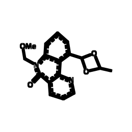 COCn1c(=O)c2cccnc2c2c(C3OC(C)O3)cccc21